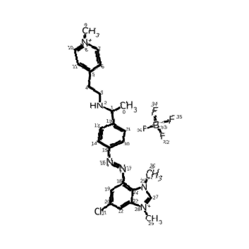 CC(NCCc1cc[n+](C)cc1)c1ccc(N=Nc2cc(Cl)cc3c2n(C)c[n+]3C)cc1.F[B-](F)(F)F